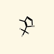 FC(F)(F)c1[nH]ccc1I